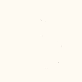 COc1ccc(Nc2ccc3c(C(=O)N(C)C)cn(Sc4cccc(C(F)(F)F)c4)c3c2)c(Cl)n1